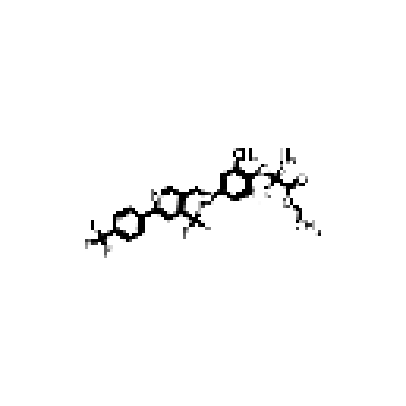 CCOC(=O)C(C)(C)Oc1ccc(OCc2cnc(-c3ccc(C(F)(F)F)cc3)cc2C(F)(F)F)cc1C